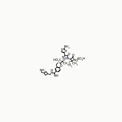 CC1(C)[C@H](NC(=O)/C(=N\O[C@](C)(C(=O)O)[C@H]2CCc3cc(C(=N)NCC4CC(CN)C4)ccc3O2)c2csc(N)n2)C(=O)N1OS(=O)(=O)O